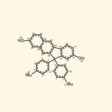 CC(C)(C)c1ccc(C2(c3ccc(C(C)(C)C)cc3)c3cc(O)ccc3-c3cc4ccc(O)cc4cc32)cc1